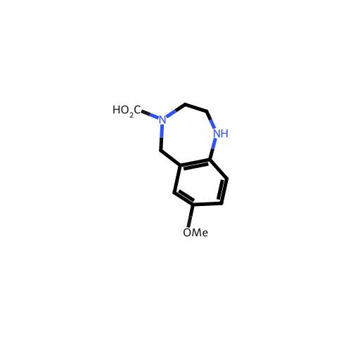 COc1ccc2c(c1)CN(C(=O)O)CCN2